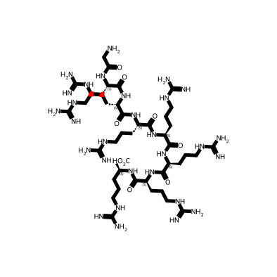 N=C(N)NCCC[C@H](NC(=O)[C@H](CCCNC(=N)N)NC(=O)[C@H](CCCNC(=N)N)NC(=O)[C@H](CCCNC(=N)N)NC(=O)[C@H](CCCNC(=N)N)NC(=O)[C@H](CCCNC(=N)N)NC(=O)[C@H](CCCNC(=N)N)NC(=O)CN)C(=O)O